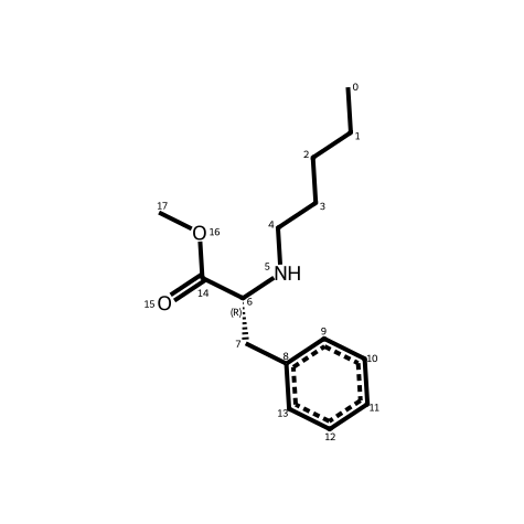 CCCCCN[C@H](Cc1ccccc1)C(=O)OC